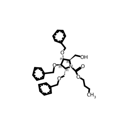 CCCCOC(=O)N1[C@H](CO)[C@@H](OCc2ccccc2)[C@H](OCc2ccccc2)[C@H]1COCc1ccccc1